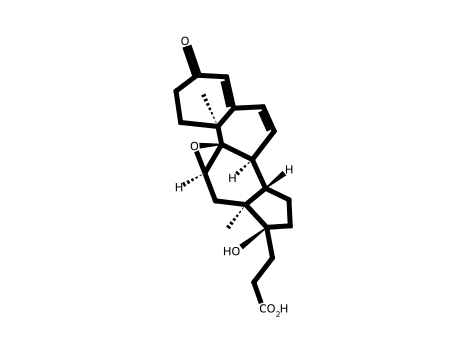 C[C@]12CCC(=O)C=C1C=C[C@H]1[C@@H]3CC[C@](O)(CCC(=O)O)[C@@]3(C)C[C@H]3O[C@]312